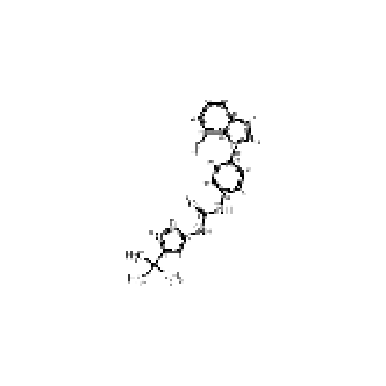 CC(C)(C)c1cc(NC(=O)Nc2ccc(-n3ncc4cccc(F)c43)cc2)no1